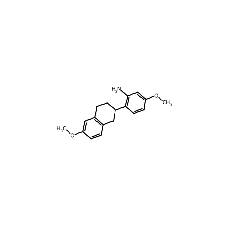 COc1ccc(C2CCc3cc(OC)ccc3C2)c(N)c1